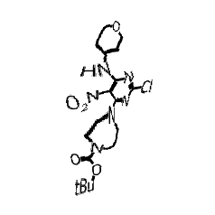 CC(C)(C)OC(=O)N1CCN(c2nc(Cl)nc(NC3CCOCC3)c2[N+](=O)[O-])CC1